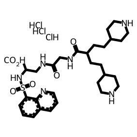 Cl.Cl.Cl.O=C(CNC(=O)C(CCC1CCNCC1)CCC1CCNCC1)NCC(NS(=O)(=O)c1cccc2cccnc12)C(=O)O